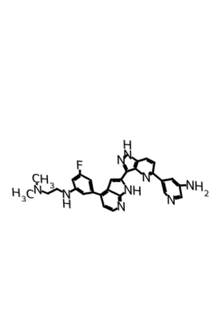 CN(C)CCNc1cc(F)cc(-c2ccnc3[nH]c(-c4n[nH]c5ccc(-c6cncc(N)c6)nc45)cc23)c1